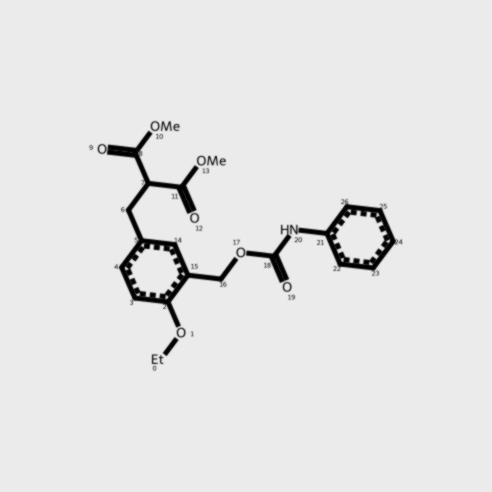 CCOc1ccc(CC(C(=O)OC)C(=O)OC)cc1COC(=O)Nc1ccccc1